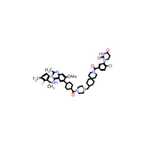 COc1cc2nc(C)nc(N[C@H](C)c3cccc(C(F)(F)F)c3F)c2cc1C1CCC(C(=O)N2CCN(CC3CCC4(CC3)CCN(C(=O)c3ccc(Cl)c(N5CCC(=O)NC5=O)c3)CC4)CC2)CC1